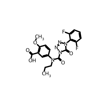 CCCN(C(=O)n1nnn(-c2c(F)cccc2F)c1=O)c1ccc(OC)c(C(=O)O)c1